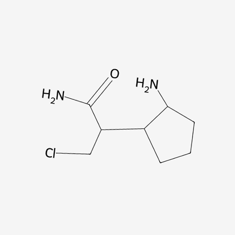 NC(=O)C(CCl)C1CCCC1N